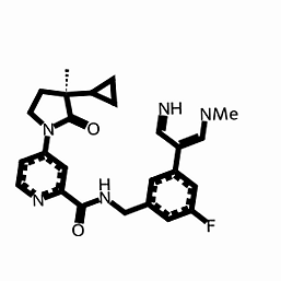 CN/C=C(\C=N)c1cc(F)cc(CNC(=O)c2cc(N3CC[C@@](C)(C4CC4)C3=O)ccn2)c1